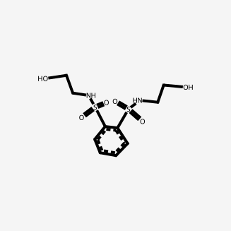 O=S(=O)(NCCO)c1ccccc1S(=O)(=O)NCCO